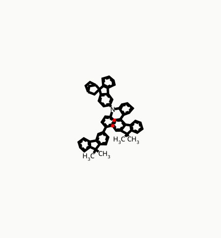 CC1(C)c2ccccc2-c2cc(-c3ccc(N(c4ccc5c(c4)-c4ccccc4C54CC5CCC4C5)c4ccccc4-c4cccc5c4-c4ccccc4C5(C)C)cc3)ccc21